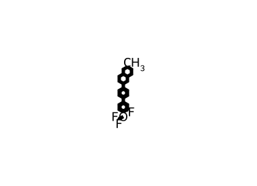 CC1CCC2CC(c3ccc(-c4ccc(OC(F)F)c(F)c4)cc3)CCC2C1